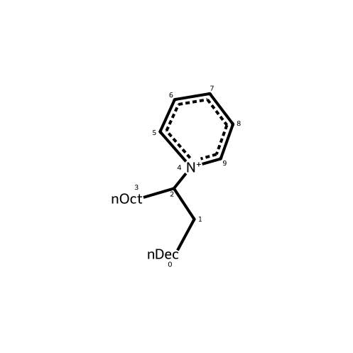 CCCCCCCCCCCC(CCCCCCCC)[n+]1ccccc1